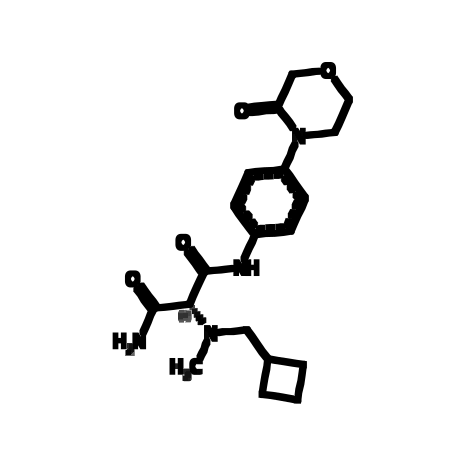 CN(CC1CCC1)[C@H](C(N)=O)C(=O)Nc1ccc(N2CCOCC2=O)cc1